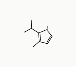 Cc1cc[nH]c1C(C)C